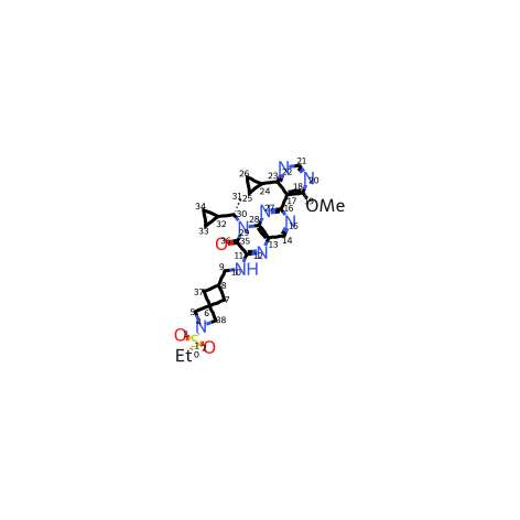 CCS(=O)(=O)N1CC2(CC(CNc3nc4cnc(-c5c(OC)ncnc5C5CC5)nc4n([C@@H](C)C4CC4)c3=O)C2)C1